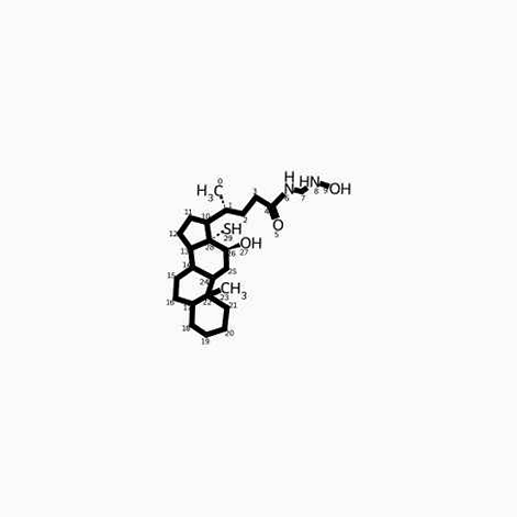 C[C@H](CCC(=O)NCNO)C1CCC2C3CCC4CCCCC4(C)C3C[C@H](O)[C@@]21S